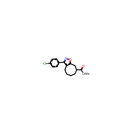 COC(=O)C1CCCCc2c(-c3ccc(Cl)cc3)noc2C1